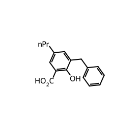 CCCc1cc(Cc2ccccc2)c(O)c(C(=O)O)c1